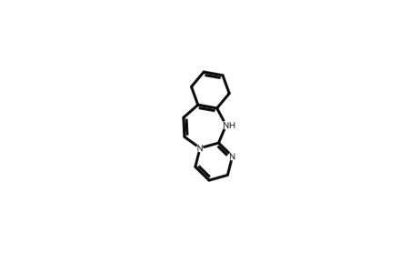 C1=CN2C=CC3=C(CC=CC3)NC2=NC1